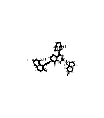 Oc1cc(O)c2c(C#Cc3ccc4c(N5C[C@H]6CC[C@@H](C5)N6)nc(OC[C@@]56CCCN5C[C@H](F)C6)nc4c3F)c(F)ccc2c1